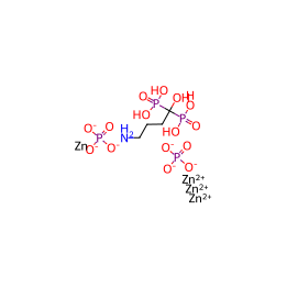 NCCCC(O)(P(=O)(O)O)P(=O)(O)O.O=P([O-])([O-])[O-].O=P([O-])([O-])[O-].[Zn+2].[Zn+2].[Zn+2].[Zn]